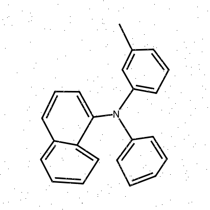 Cc1cccc(N(c2ccccc2)c2cccc3ccccc23)c1